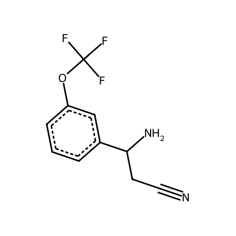 N#CCC(N)c1cccc(OC(F)(F)F)c1